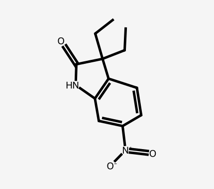 CCC1(CC)C(=O)Nc2cc([N+](=O)[O-])ccc21